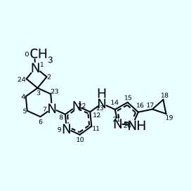 CN1CC2(CCCN(c3nccc(Nc4cc(C5CC5)[nH]n4)n3)C2)C1